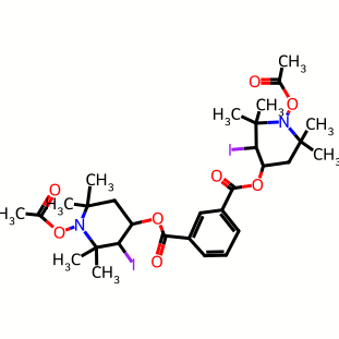 CC(=O)ON1C(C)(C)CC(OC(=O)c2cccc(C(=O)OC3CC(C)(C)N(OC(C)=O)C(C)(C)C3I)c2)C(I)C1(C)C